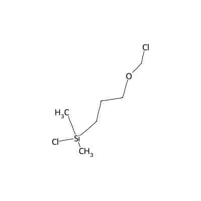 C[Si](C)(Cl)CCCOCCl